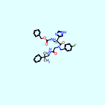 CC(C)(CNC(=O)CN(Cc1ccc(F)cc1)C(=O)[C@@H](CNC(=O)OCc1ccccc1)c1c[nH]cn1)c1ccccc1